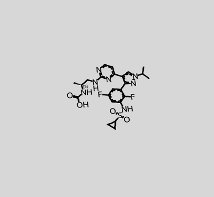 CC(C)n1cc(-c2ccnc(NC[C@H](C)NC(=O)O)n2)c(-c2cc(F)cc(NS(=O)(=O)C3CC3)c2F)n1